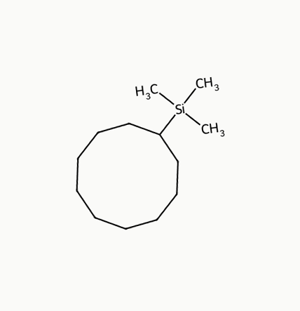 C[Si](C)(C)C1CCCCCCCCC1